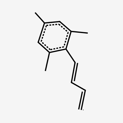 [CH]=CC=Cc1c(C)cc(C)cc1C